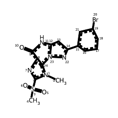 Cn1c(S(C)(=O)=O)nc2c(=O)[nH]c3cc(-c4cccc(Br)c4)nn3c21